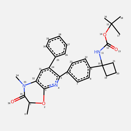 CC1Oc2nc(-c3ccc(C4(NC(=O)OC(C)(C)C)CCC4)cc3)c(-c3ccccc3)cc2N(C)C1=O